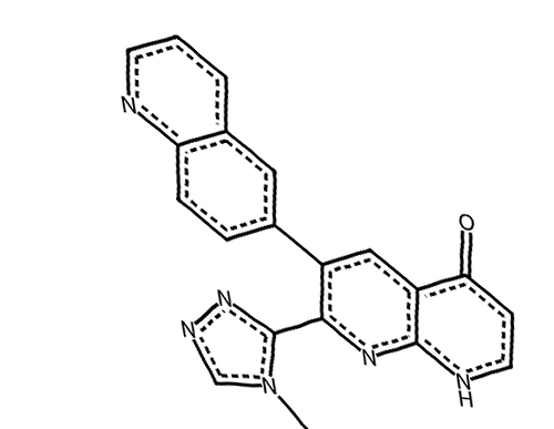 Cn1cnnc1-c1nc2[nH]ccc(=O)c2cc1-c1ccc2ncccc2c1